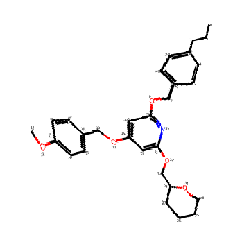 CCCc1ccc(COc2cc(OCc3ccc(OC)cc3)cc(OCC3CCCCO3)n2)cc1